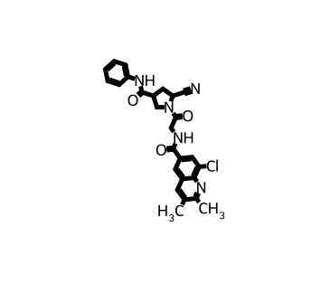 Cc1cc2cc(C(=O)NCC(=O)N3CC(C(=O)Nc4ccccc4)CC3C#N)cc(Cl)c2nc1C